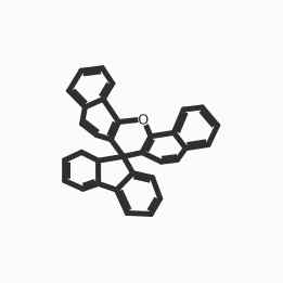 C1=CCC2C(=C1)c1ccccc1C21c2ccc3ccccc3c2Oc2c1ccc1ccccc21